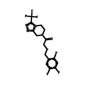 O=C(C[CH]Cc1cc(F)c(F)cc1F)N1CCn2c(nnc2C(F)(F)F)C1